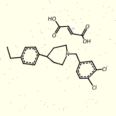 CCc1ccc(C2CCN(Cc3ccc(Cl)c(Cl)c3)CC2)cc1.O=C(O)/C=C/C(=O)O